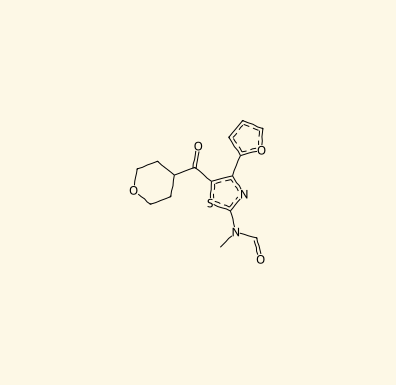 CN(C=O)c1nc(-c2ccco2)c(C(=O)C2CCOCC2)s1